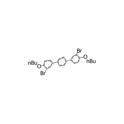 CCCCOc1ccc(-c2ccc(-c3ccc(OCCCC)c(Br)c3)cc2)cc1Br